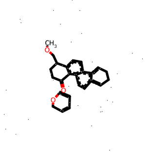 C1=CCOC=C1.COCC1CCC(=O)c2c1ccc1c3c(ccc21)=CCCC=3